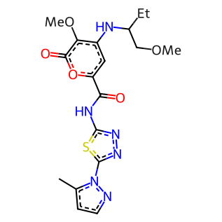 CCC(COC)Nc1cc(C(=O)Nc2nnc(-n3nccc3C)s2)oc(=O)c1OC